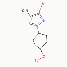 CCOC1CCC(n2cc([N+](=O)[O-])c(Br)n2)CC1